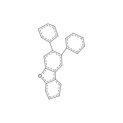 [c]1c(-c2ccccc2)c(-c2ccccc2)cc2oc3ccccc3c12